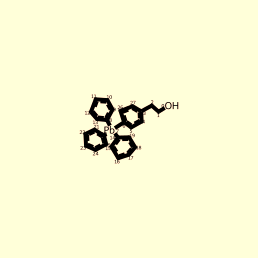 OCCc1cc[c]([Pb]([c]2ccccc2)([c]2ccccc2)[c]2ccccc2)cc1